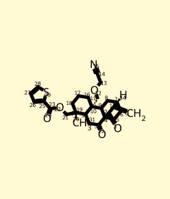 C=C1C(=O)C23CC[C@H]1CC2[C@]1(COCC#N)CCC[C@@](C)(COC(=O)c2cccs2)C1CC3=O